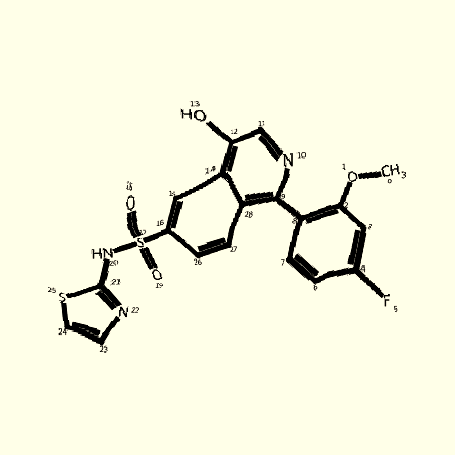 COc1cc(F)ccc1-c1ncc(O)c2cc(S(=O)(=O)Nc3nccs3)ccc12